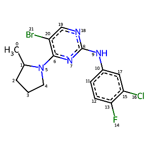 CC1CCCN1c1nc(Nc2ccc(F)c(Cl)c2)ncc1Br